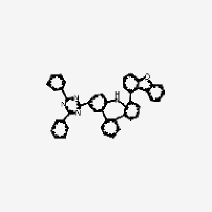 c1ccc(-c2nc(-c3ccccc3)nc(-c3ccc4c(c3)-c3ccccc3-c3cccc(-c5cccc6oc7ccccc7c56)c3N4)n2)cc1